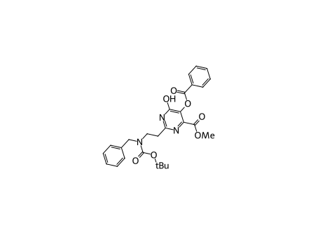 COC(=O)c1nc(CCN(Cc2ccccc2)C(=O)OC(C)(C)C)nc(O)c1OC(=O)c1ccccc1